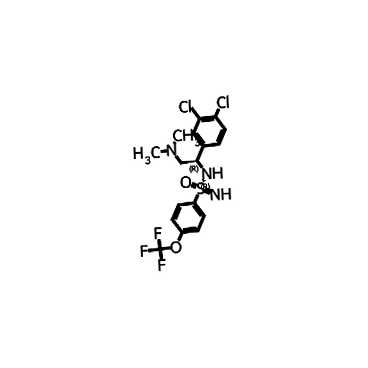 CN(C)C[C@H](N[S@](=N)(=O)c1ccc(OC(F)(F)F)cc1)c1ccc(Cl)c(Cl)c1